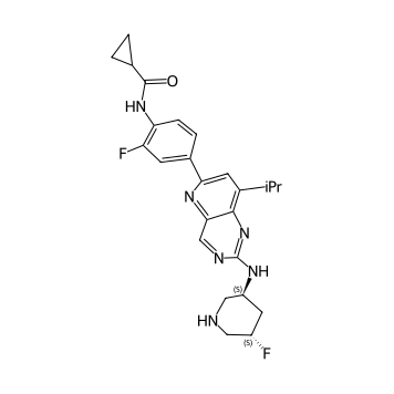 CC(C)c1cc(-c2ccc(NC(=O)C3CC3)c(F)c2)nc2cnc(N[C@@H]3CNC[C@@H](F)C3)nc12